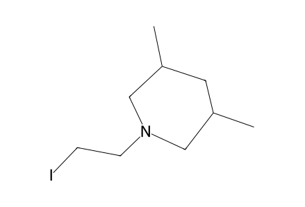 CC1CC(C)CN(CCI)C1